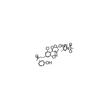 CP(=O)(CCc1cc(Cl)c(C(=O)N[C@@H](Cc2cnn(S(C)(=O)=O)c2)C(=O)O)c(Cl)c1)c1cccc(O)c1